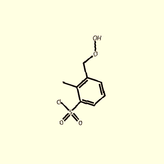 Cc1c(COO)cccc1S(=O)(=O)Cl